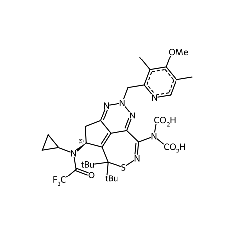 COc1c(C)cnc(CN2N=C3C[C@H](N(C(=O)C(F)(F)F)C4CC4)C4=C3C(=N2)C(N(C(=O)O)C(=O)O)=NSC4(C(C)(C)C)C(C)(C)C)c1C